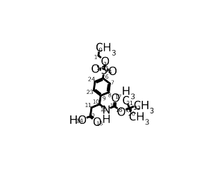 CCOS(=O)(=O)c1ccc(C(CC(=O)O)NC(=O)OC(C)(C)C)cc1